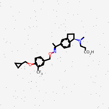 C/C(=N\OCc1ccc(OCC2CC2)c(C(F)(F)F)c1)c1ccc2c(c1)CC[C@H]2N(C)CCC(=O)O